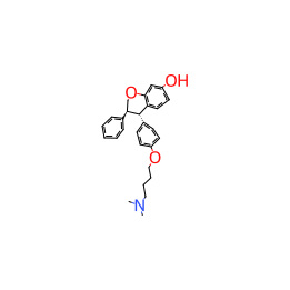 CN(C)CCCCOc1ccc([C@H]2c3ccc(O)cc3OC[C@@H]2c2ccccc2)cc1